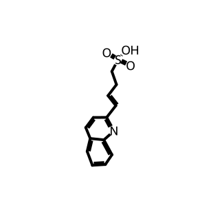 O=S(=O)(O)CC/C=C/c1ccc2ccccc2n1